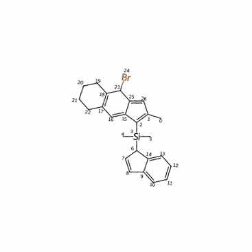 CC1=C([Si](C)(C)C2C=Cc3ccccc32)C2=CC3=C(CCCC3)C(Br)C2=C1